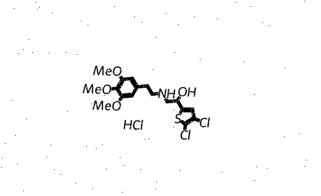 COc1cc(CCNCC(O)c2cc(Cl)c(Cl)s2)cc(OC)c1OC.Cl